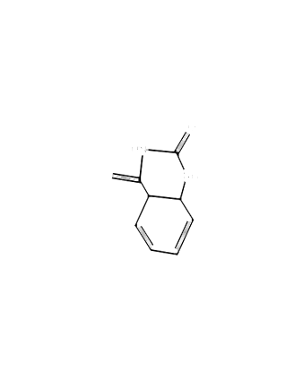 O=C1NC(=O)C2[C]=CC=CC2N1